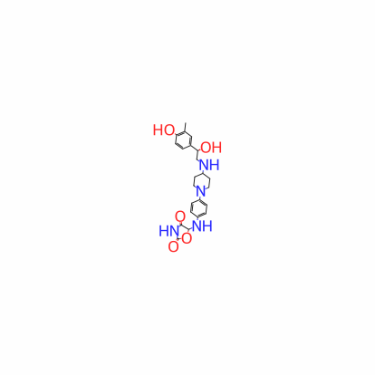 Cc1cc([C@@H](O)CNC2CCN(c3ccc(NC4OC(=O)NC4=O)cc3)CC2)ccc1O